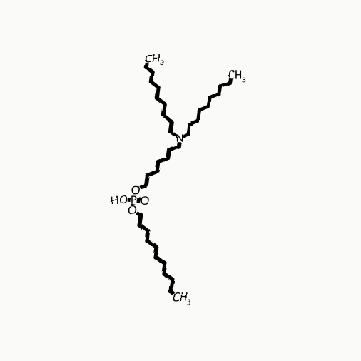 CCCCCCCCCCCOP(=O)(O)OCCCCCCCN(CCCCCCCCCC)CCCCCCCCCC